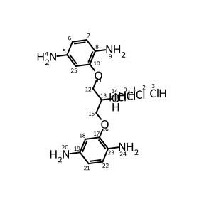 Cl.Cl.Cl.Cl.Nc1ccc(N)c(OCC(O)COc2cc(N)ccc2N)c1